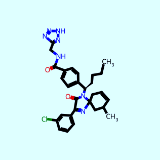 CCCC[C@H](c1ccc(C(=O)NCc2nn[nH]n2)cc1)N1C(=O)C(c2cccc(Cl)c2)=NC12CC=CC(C)C2